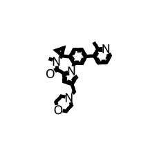 Cc1ncccc1-c1ccc2c(c1)-n1cc(CN3CCOCC3)cc1C(=O)N(C)C21CC1